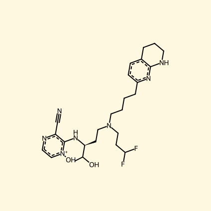 CC(O)[C@H](CCN(CCCCc1ccc2c(n1)NCCC2)CCC(F)F)Nc1c(C#N)ncc[n+]1O